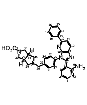 Nc1ncccc1-c1nc2ccc(-c3ccccc3)nc2n1-c1ccc(CN2C[C@H]3CN(C(=O)O)C[C@@H]3C2)cc1